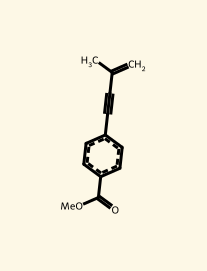 C=C(C)C#Cc1ccc(C(=O)OC)cc1